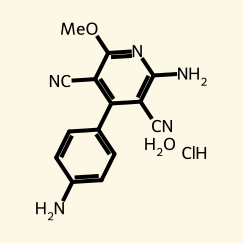 COc1nc(N)c(C#N)c(-c2ccc(N)cc2)c1C#N.Cl.O